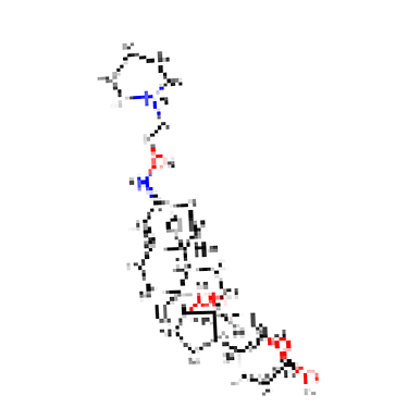 C[C@]12CC/C(=N\OCCN3CCCCC3)C=C1CC[C@@H]1[C@@H]2CC[C@]2(C)[C@@H](c3ccc(=O)oc3)CC[C@]12O